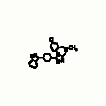 CN1Cc2cc(Cl)ccc2-n2c(nnc2C2CCC(c3noc4ccccc34)CC2)C1